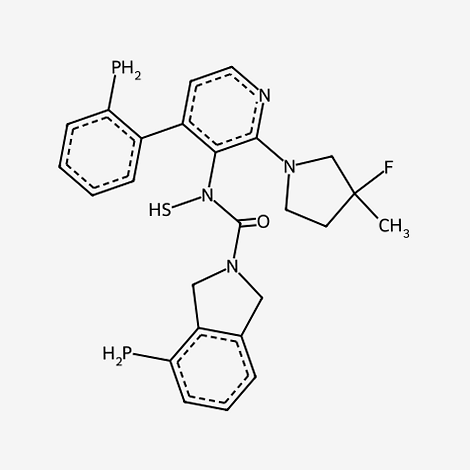 CC1(F)CCN(c2nccc(-c3ccccc3P)c2N(S)C(=O)N2Cc3cccc(P)c3C2)C1